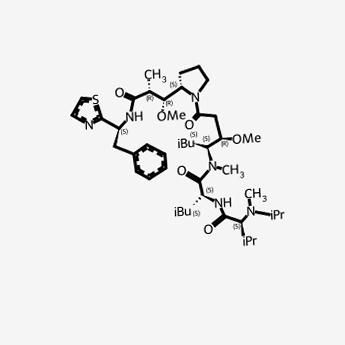 CC[C@H](C)[C@@H]([C@@H](CC(=O)N1CCC[C@H]1[C@H](OC)[C@@H](C)C(=O)N[C@@H](Cc1ccccc1)c1nccs1)OC)N(C)C(=O)[C@@H](NC(=O)[C@H](C(C)C)N(C)C(C)C)[C@@H](C)CC